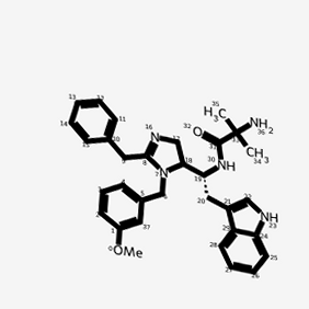 COc1cccc(CN2C(Cc3ccccc3)=NCC2[C@@H](Cc2c[nH]c3ccccc23)NC(=O)C(C)(C)N)c1